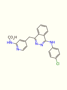 O=C(O)Nc1cc(Cc2nnc(Nc3ccc(Cl)cc3)c3ccccc23)ccn1